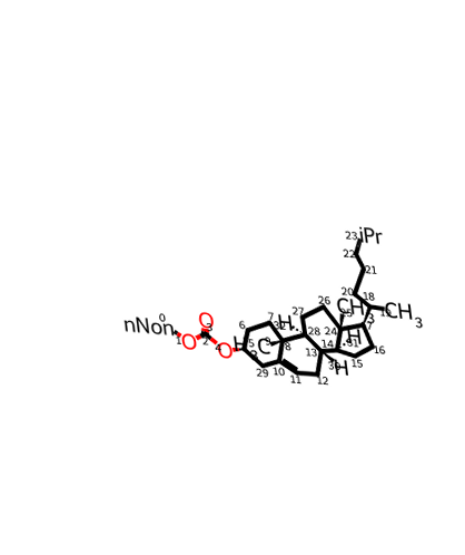 CCCCCCCCCOC(=O)O[C@H]1CC[C@@]2(C)C(=CC[C@H]3[C@@H]4CC[C@H](C(C)CCCC(C)C)[C@@]4(C)CC[C@@H]32)C1